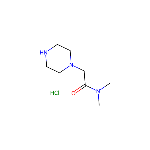 CN(C)C(=O)CN1CCNCC1.Cl